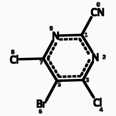 N#Cc1nc(Cl)c(Br)c(Cl)n1